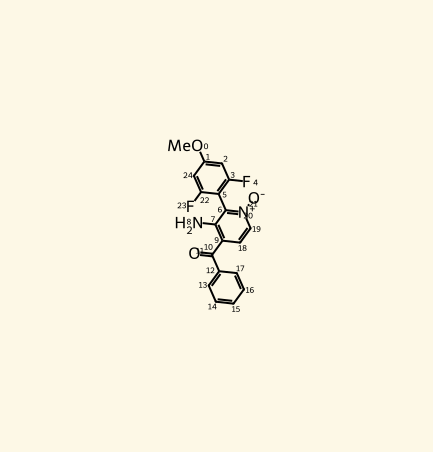 COc1cc(F)c(-c2c(N)c(C(=O)c3ccccc3)cc[n+]2[O-])c(F)c1